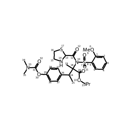 COc1ccccc1S(=O)(=O)N(C(=O)C1NCCS1)C(C)(C(=O)OC(C)C)C(C)c1ccc(OC(=O)N(C)C)cc1